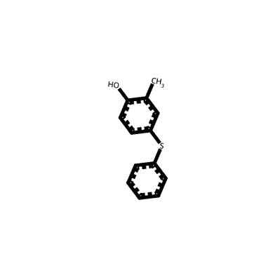 Cc1cc(Sc2ccccc2)ccc1O